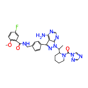 COc1ccc(F)cc1C(=O)NCc1ccc(-c2nn(C(C)C3CCCCN3C(=O)n3cncn3)c3ncnc(N)c23)cc1